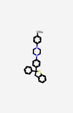 COc1ccc(N2CCN(c3ccc(C4(c5ccccc5)Cc5ccccc5S4)cc3)CC2)cc1